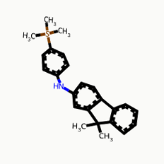 CC1(C)c2ccccc2-c2ccc(Nc3ccc(S(C)(C)C)cc3)cc21